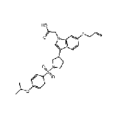 C=CCSc1ccc2c(C3CCN(S(=O)(=O)C4C=CC(OC(C)C)=CC4)C3)cn(CC(=O)O)c2c1